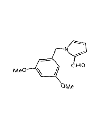 COc1cc(Cn2cccc2C=O)cc(OC)c1